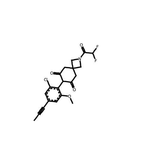 CC#Cc1cc(Cl)c(C2C(=O)CC3(CC2=O)CN(C(=O)C(F)F)C3)c(OC)c1